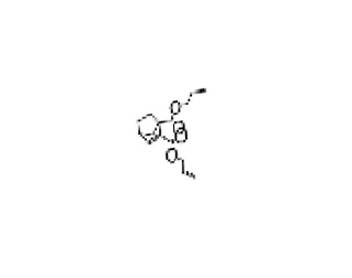 C=CCOC(=O)C1=CC2CCC1(C(=O)OCC=C)C2